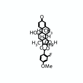 COc1ccc(C2O[C@@H]3C[C@H]4[C@@H]5CCC6=CC(=O)C=C[C@]6(C)[C@H]5[C@@H](O)C[C@]4(C)[C@]3(C(=O)O)O2)c(F)c1